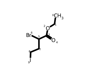 CCOC(=O)C(Br)CCI